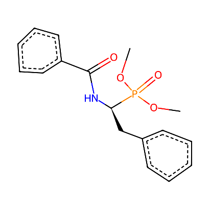 COP(=O)(OC)[C@@H](Cc1ccccc1)NC(=O)c1ccccc1